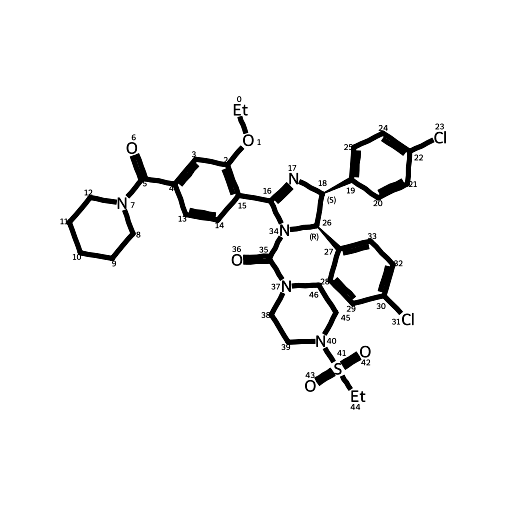 CCOc1cc(C(=O)N2CCCCC2)ccc1C1=N[C@@H](c2ccc(Cl)cc2)[C@@H](c2ccc(Cl)cc2)N1C(=O)N1CCN(S(=O)(=O)CC)CC1